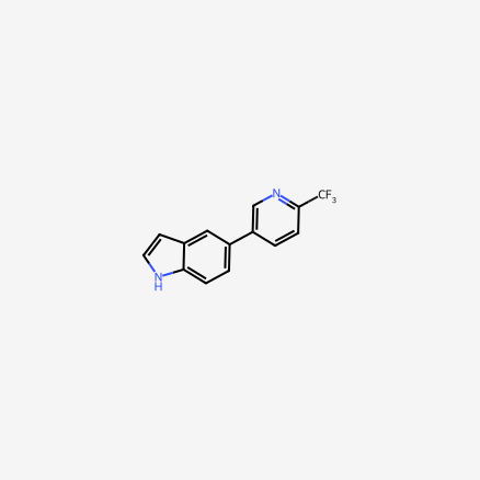 FC(F)(F)c1ccc(-c2ccc3[nH]ccc3c2)cn1